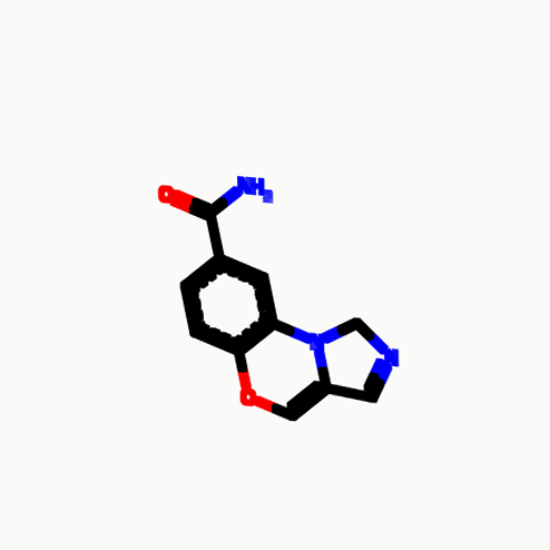 NC(=O)c1ccc2c(c1)N1CN=CC1=CO2